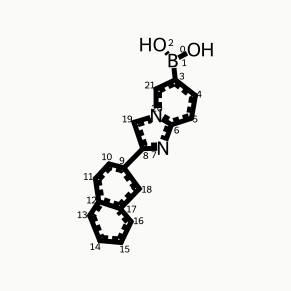 OB(O)c1ccc2nc(-c3ccc4ccccc4c3)cn2c1